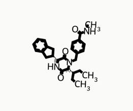 CCC(CC)[C@@H]1C(=O)N[C@H](C2Cc3ccccc3C2)C(=O)N1Cc1ccc(C(=O)NC)cc1